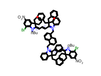 CCCCN1/C(=C/C=C/C2=[N+](Cc3cccc4c(C[N+]5=C(/C=C/C=C6/N(CCCC)c7c(Br)cc([N+](=O)[O-])cc7C67CCCCC7)C(Cc6ccccc6)(Cc6ccccc6)c6ccccc65)cccc34)c3ccccc3C2(Cc2ccccc2)Cc2ccccc2)C2(CCCCC2)c2cc([N+](=O)[O-])cc(Br)c21